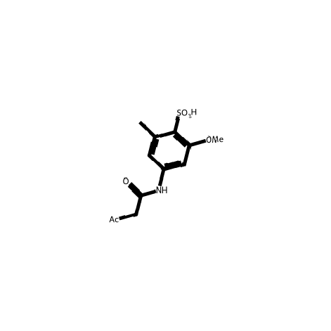 COc1cc(NC(=O)CC(C)=O)cc(C)c1S(=O)(=O)O